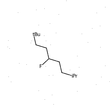 CC(C)CCC(F)CCC(C)(C)C